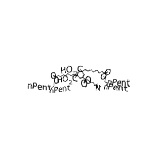 CCCCCC(CCCCC)CCOC(=O)CCCCCCCC1(C(=O)O)C=C(C(=O)OCCCCN(C)C)CC(CCCCCCCC(=O)OCCC(CCCCC)CCCCC)(C(=O)O)C1